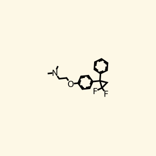 CN(C)CCOc1ccc(C2(c3ccccc3)CC2(F)F)cc1